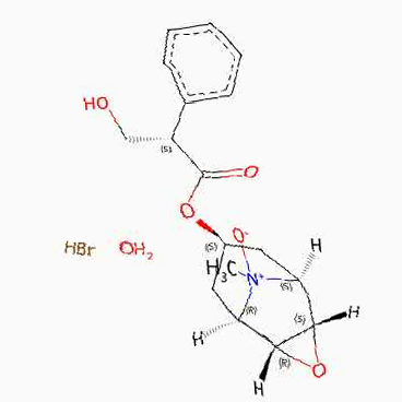 Br.C[N+]1([O-])[C@@H]2C[C@@H](OC(=O)[C@H](CO)c3ccccc3)C[C@H]1[C@@H]1O[C@@H]12.O